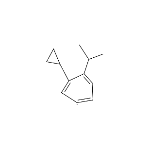 CC(C)c1cc[c]cc1C1CC1